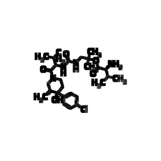 C=C1CN(C(=O)C(NC(=O)NCC(C)(C)OC(=O)[C@@H](N)C(C)C)C(C)C)CC[C@]1(O)c1ccc(Cl)cc1